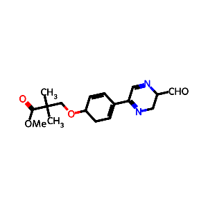 COC(=O)C(C)(C)COC1C=CC(C2=NCC(C=O)N=C2)=CC1